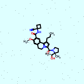 CCCc1cc(C(=O)N2CCC[C@]2(C)[C@@H](C)O)n2c1-c1cc(C(=O)NC3(C#N)CCC3)c(OC)cc1CC2